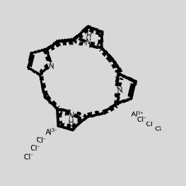 C1=Cc2cc3ccc(cc4nc(cc5ccc(cc1n2)[nH]5)C=C4)[nH]3.[Al+3].[Al+3].[Cl-].[Cl-].[Cl-].[Cl-].[Cl-].[Cl-]